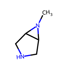 CN1C2CNCC21